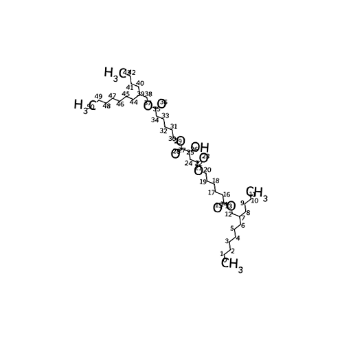 CCCCCCCC(CCCC)COC(=O)CCCCCOC(=O)CC(O)C(=O)OCCCCCC(=O)OCC(CCCC)CCCCCCC